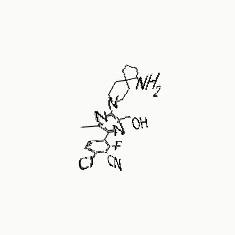 Cc1nc(N2CCC3(CCCC3N)CC2)c(CO)nc1-c1ccc(Cl)c(C#N)c1F